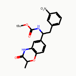 CC1Oc2ccc(C(Cc3cccc([N+](=O)[O-])c3)NC(=O)OC(C)(C)C)cc2NC1=O